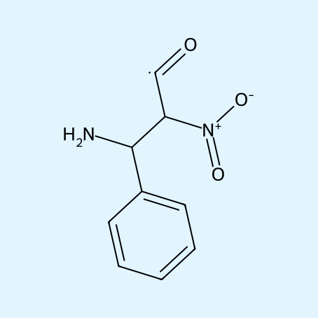 NC(c1ccccc1)C([C]=O)[N+](=O)[O-]